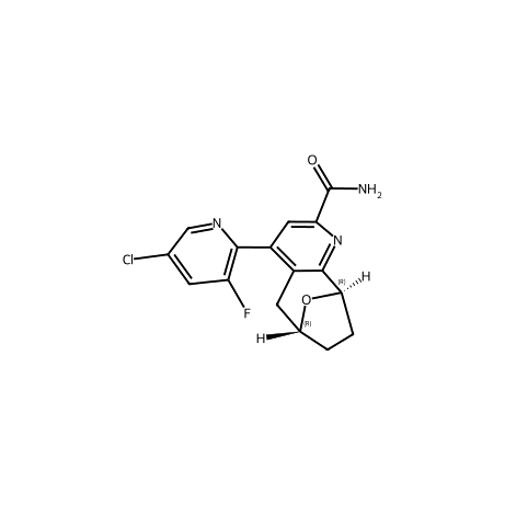 NC(=O)c1cc(-c2ncc(Cl)cc2F)c2c(n1)[C@H]1CC[C@H](C2)O1